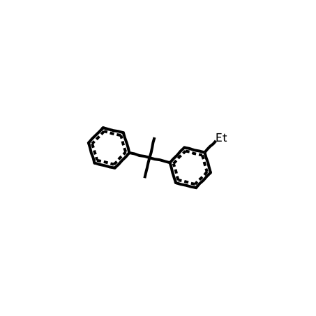 CCc1cccc(C(C)(C)c2ccccc2)c1